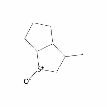 CC1C[S+]([O-])C2CCCC12